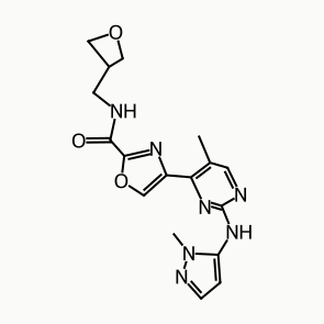 Cc1cnc(Nc2ccnn2C)nc1-c1coc(C(=O)NCC2COC2)n1